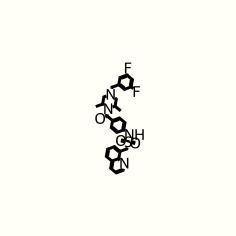 CC1CN(Cc2cc(F)cc(F)c2)CC(C)N1C(=O)c1ccc(NS(=O)(=O)Cc2cccc3cccnc23)cc1